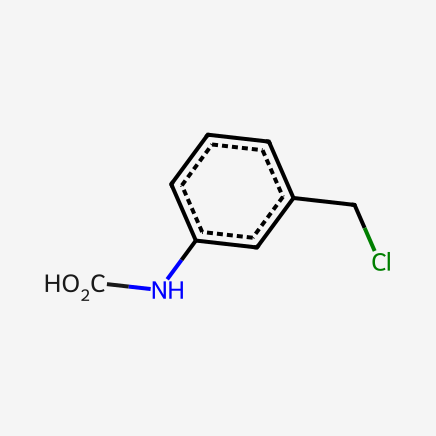 O=C(O)Nc1cccc(CCl)c1